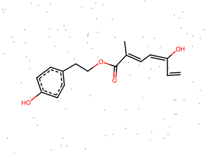 C=C/C(O)=C\C=C(/C)C(=O)OCCc1ccc(O)cc1